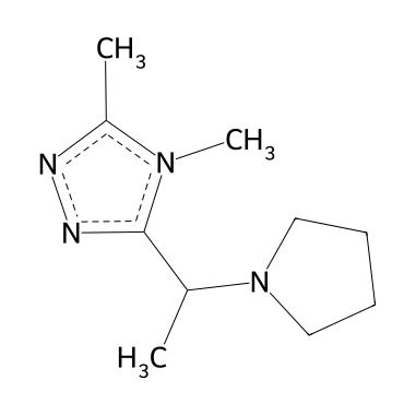 Cc1nnc(C(C)N2CCCC2)n1C